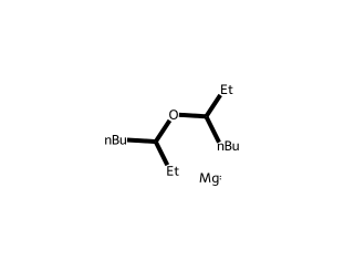 CCCCC(CC)OC(CC)CCCC.[Mg]